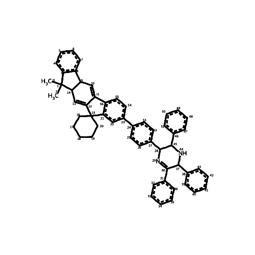 CC1(C)c2ccccc2C2C=C3C(=CC21)C1(CCCCC1)c1cc(-c2ccc(C4N=C(c5ccccc5)C(c5ccccc5)NC4c4ccccc4)cc2)ccc13